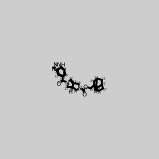 O=C(c1ccc2[nH]nnc2c1)N1C=C2CN(C(=O)OCC34CC5CC(CC(C5)C3)C4)C[C@@H]2C1